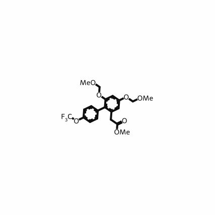 COCOc1cc(CC(=O)OC)c(-c2ccc(OC(F)(F)F)cc2)c(OCOC)c1